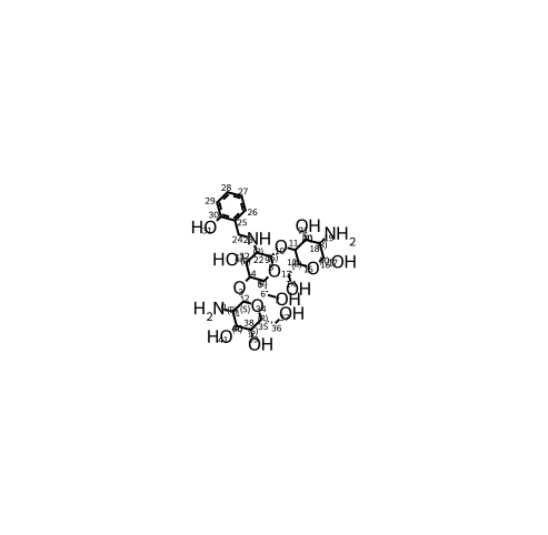 N[C@H]1[C@H](OC2[C@@H](CO)O[C@@H](OC3[C@@H](CO)O[C@@H](O)[C@H](N)[C@H]3O)[C@H](NCc3ccccc3O)[C@H]2O)O[C@H](CO)[C@@H](O)[C@@H]1O